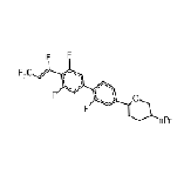 CCCC1CCC(c2ccc(-c3cc(F)c(/C(F)=C/C(F)(F)F)c(F)c3)c(F)c2)OC1